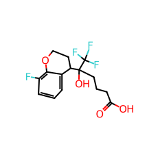 O=C(O)CCCC(O)(C1CCOc2c(F)cccc21)C(F)(F)F